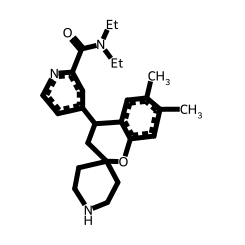 CCN(CC)C(=O)c1cc(C2CC3(CCNCC3)Oc3cc(C)c(C)cc32)ccn1